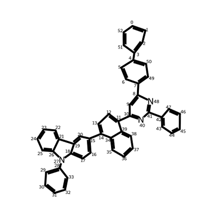 c1ccc(-c2ccc(-c3cc(-c4ccc(-c5ccc6c(c5)c5ccccc5n6-c5ccccc5)c5ccccc45)nc(-c4ccccc4)n3)cc2)cc1